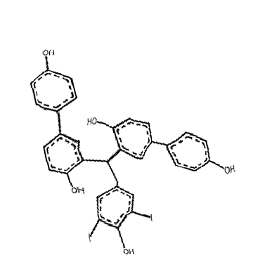 Oc1ccc(-c2ccc(O)c(C(c3cc(I)c(O)c(I)c3)c3cc(-c4ccc(O)cc4)ccc3O)c2)cc1